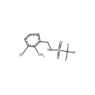 Cc1c(Cl)cccc1CNS(=O)(=O)C(F)(F)F